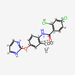 O=C(Nc1ccc(Oc2ncccn2)cc1C(=O)[O-])c1ccc(Cl)cc1Cl.[Li+]